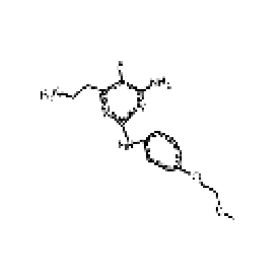 COCCOc1ccc(Nc2nc(N)c(F)c(CCN)n2)cc1